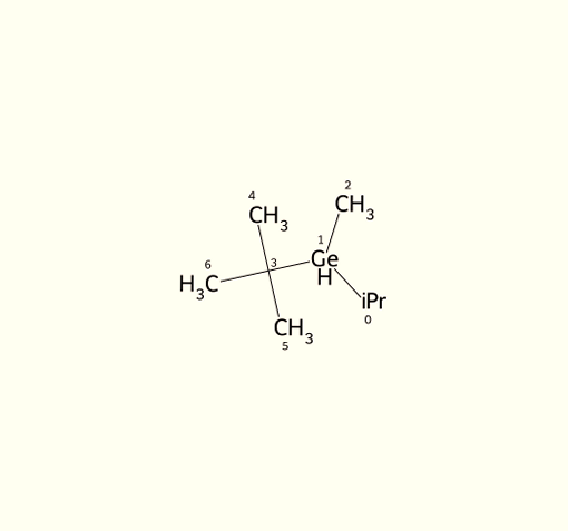 C[CH](C)[GeH]([CH3])[C](C)(C)C